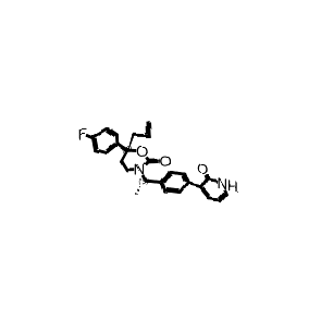 C=CC[C@]1(c2ccc(F)cc2)CCN([C@@H](C)c2ccc(-c3ccc[nH]c3=O)cc2)C(=O)O1